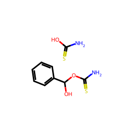 NC(=S)OC(O)c1ccccc1.NC(O)=S